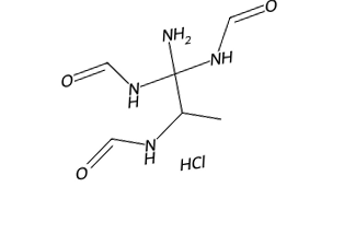 CC(NC=O)C(N)(NC=O)NC=O.Cl